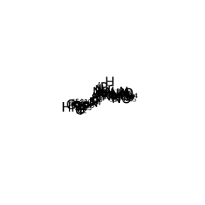 CC(C)n1nc(N2CCN(Cc3ccc(C4CCC(=O)NC4=O)c(F)c3)CC2)c2cnc(Nc3ccnc(-c4cnn(S(=O)(=O)C5CC5)c4)n3)cc21